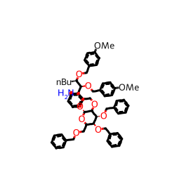 CCCC[C@@H](OCc1ccc(OC)cc1)[C@@H](OCc1ccc(OC)cc1)[C@@H](N)CO[C@H]1OC(COCc2ccccc2)[C@H](OCc2ccccc2)[C@@H](OCc2ccccc2)C1OCc1ccccc1